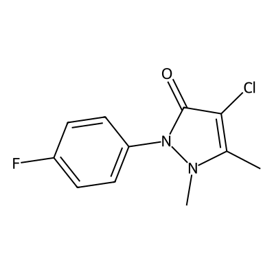 Cc1c(Cl)c(=O)n(-c2ccc(F)cc2)n1C